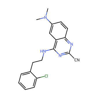 CN(C)c1ccc2nc(C#N)nc(NCCc3ccccc3Cl)c2c1